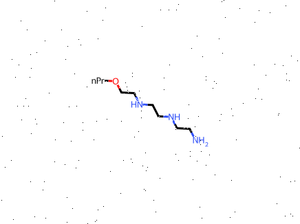 CCCOCCNCCNCCN